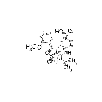 COc1ccccc1-c1cc(C(CC(C)C)Nc2ccc(C(=O)O)cc2)c(C)o1